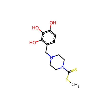 CSC(=S)N1CCN(Cc2ccc(O)c(O)c2O)CC1